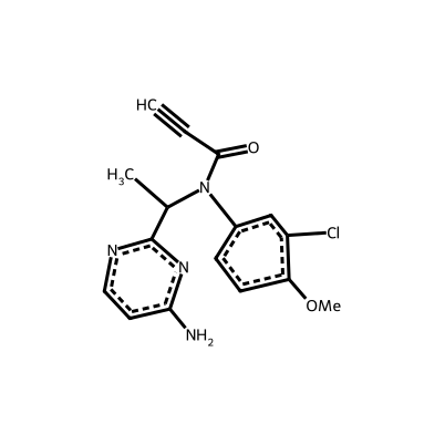 C#CC(=O)N(c1ccc(OC)c(Cl)c1)C(C)c1nccc(N)n1